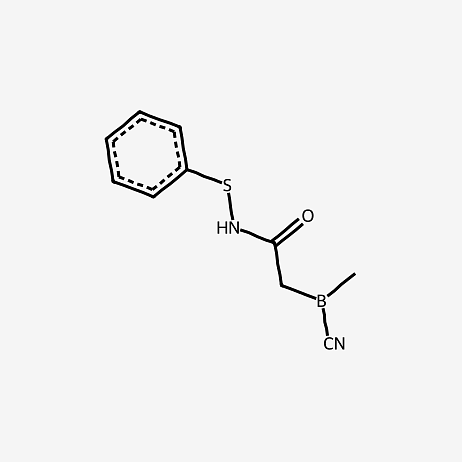 CB(C#N)CC(=O)NSc1ccccc1